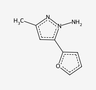 Cc1cc(-c2ccco2)n(N)n1